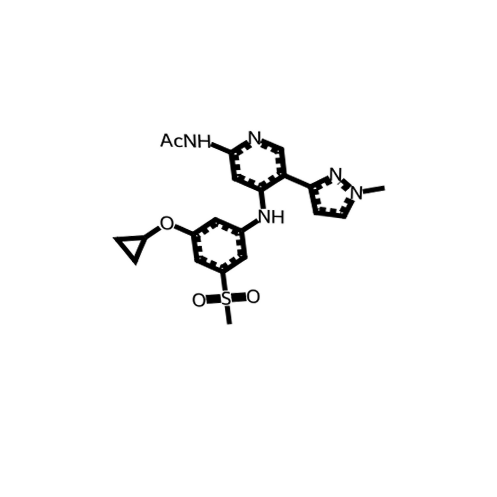 CC(=O)Nc1cc(Nc2cc(OC3CC3)cc(S(C)(=O)=O)c2)c(-c2ccn(C)n2)cn1